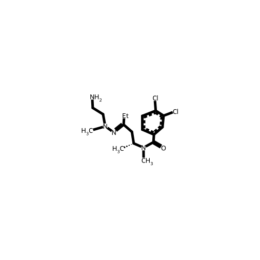 CC/C(C[C@@H](C)N(C)C(=O)c1ccc(Cl)c(Cl)c1)=N\N(C)CCN